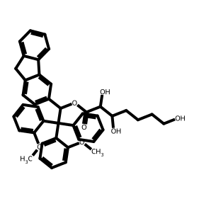 COc1ccccc1C(c1ccccc1)(c1ccccc1OC)C(OC(=O)C(O)C(O)CCCCO)c1ccc2c(c1)-c1ccccc1C2